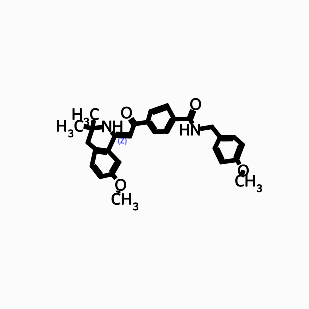 COc1ccc(CNC(=O)c2ccc(C(=O)/C=C3\NC(C)(C)Cc4ccc(OC)cc43)cc2)cc1